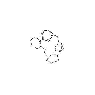 C1=C(CCC2=CCCCC2)CCCC1.c1ccc(Cc2ccccc2)cc1